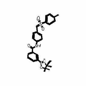 Cc1ccc(S(=O)(=O)Cc2ccc(NC(=O)c3cccc(B4OC(C)(C)C(C)(C)O4)c3)cc2)cc1